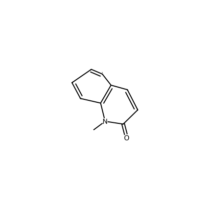 Cn1c(=O)ccc2[c]cccc21